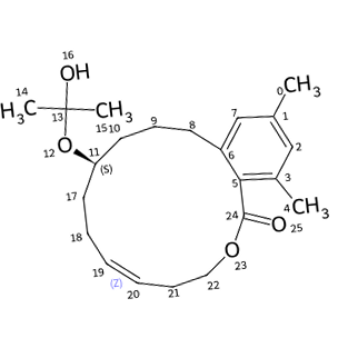 Cc1cc(C)c2c(c1)CCC[C@H](OC(C)(C)O)CC/C=C\CCOC2=O